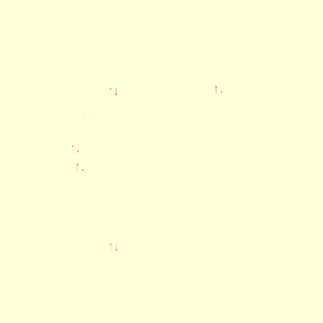 c1ccc(-n2c3ccccc3c3cc(-c4cnc5oc6nnc(-c7ccc8c(c7)c7ccccc7n8-c7ccccc7)cc6c5c4)ccc32)cc1